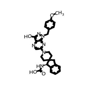 COc1ccc(Cn2nc(O)c3ncc(N4CCC5(CC4)Cc4ccccc4[C@H]5NC(=O)O)nc32)cc1